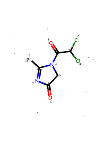 CC(C)C1=NC(=O)CN1C(=O)C(Cl)Cl